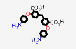 Nc1ccc(Oc2ccc(Cc3ccc(Oc4ccc(N)cc4)c(C(=O)O)c3)cc2C(=O)O)cc1